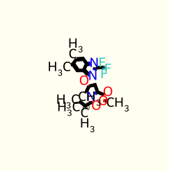 COC(=O)C1CC(Oc2nc(C(F)(F)F)nc3cc(C)c(C)cc23)CN1C(=O)[C@@H](C)C(C)(C)C